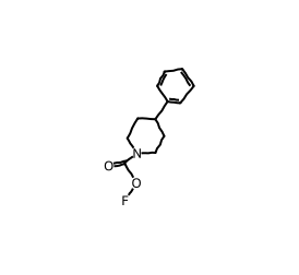 O=C(OF)N1CCC(c2ccccc2)CC1